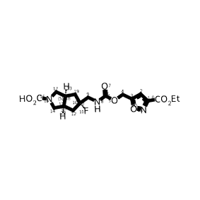 CCOC(=O)c1cc(COC(=O)NC[C@@]2(F)C[C@H]3CN(C(=O)O)C[C@H]3C2)on1